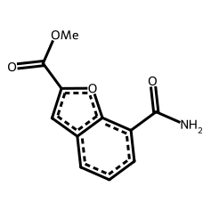 COC(=O)c1cc2cccc(C(N)=O)c2o1